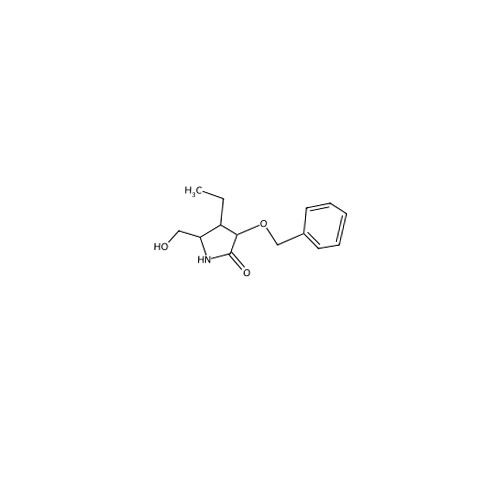 CCC1C(CO)NC(=O)C1OCc1ccccc1